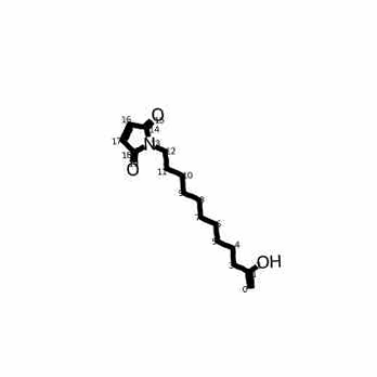 C=C(O)CCCCCCCCCCN1C(=O)C=CC1=O